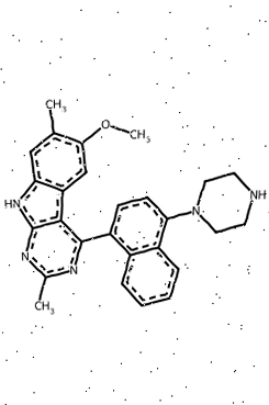 COc1cc2c(cc1C)[nH]c1nc(C)nc(-c3ccc(N4CCNCC4)c4ccccc34)c12